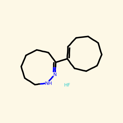 C1=C(C2=NNCCCCCC2)CCCCCCC1.F